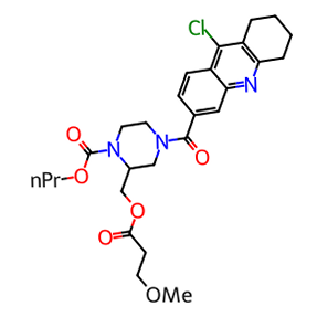 CCCOC(=O)N1CCN(C(=O)c2ccc3c(Cl)c4c(nc3c2)CCCC4)CC1COC(=O)CCOC